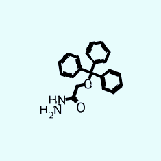 NNC(=O)COC(c1ccccc1)(c1ccccc1)c1ccccc1